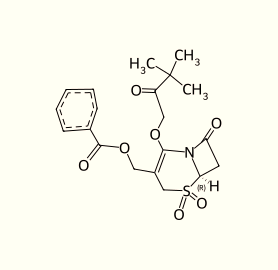 CC(C)(C)C(=O)COC1=C(COC(=O)c2ccccc2)CS(=O)(=O)[C@@H]2CC(=O)N12